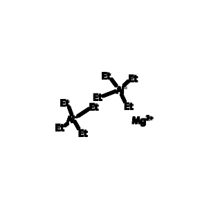 C[CH2][Al-]([CH2]C)([CH2]C)[CH2]C.C[CH2][Al-]([CH2]C)([CH2]C)[CH2]C.[Mg+2]